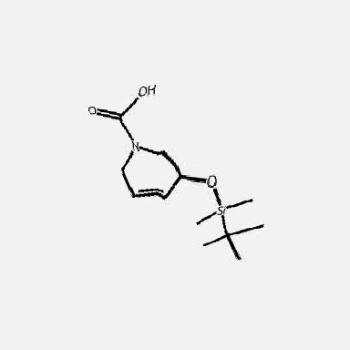 CC(C)(C)[Si](C)(C)OC1C=CCN(C(=O)O)C1